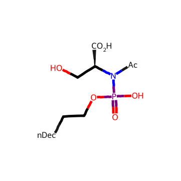 CCCCCCCCCCCCOP(=O)(O)N(C(C)=O)[C@@H](CO)C(=O)O